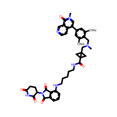 COc1cc(-c2cn(C)c(=O)c3cnccc23)cc(OC)c1CN(C)CC12CC1(C(=O)NCCCCCNc1cccc3c1C(=O)N(C1CCC(=O)NC1=O)C3=O)C2